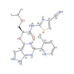 CC(C)OC[C@H](Oc1nc(-c2ncccc2Cl)nc2[nH]ncc12)C(=O)Nc1nc(C#N)cs1